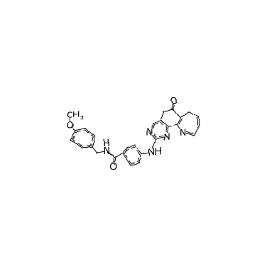 COc1ccc(CNC(=O)c2ccc(Nc3ncc4c(n3)C3=C(CC=CC=N3)C(=O)C4)cc2)cc1